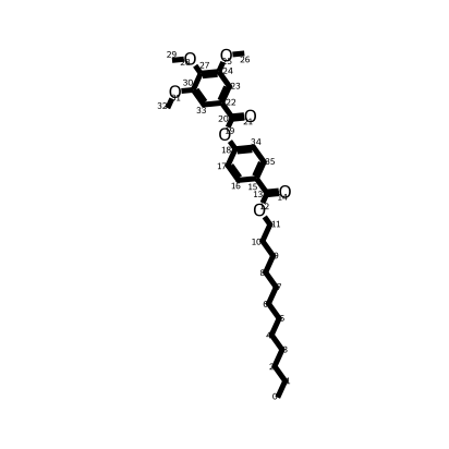 CCCCCCCCCCCCOC(=O)c1ccc(OC(=O)c2cc(OC)c(OC)c(OC)c2)cc1